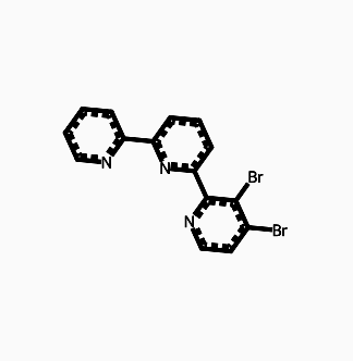 Brc1ccnc(-c2cccc(-c3ccccn3)n2)c1Br